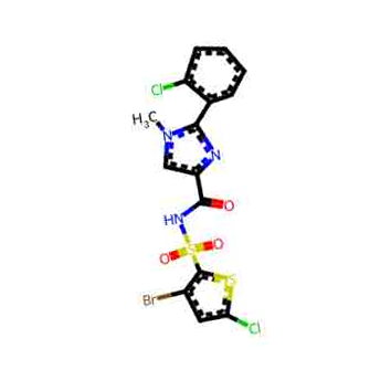 Cn1cc(C(=O)NS(=O)(=O)c2sc(Cl)cc2Br)nc1-c1ccccc1Cl